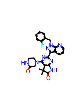 CC1(C)C(=O)Nc2nc(-c3nn(Cc4ccccc4F)c4ncccc34)nc(N3CCNC(=O)C3)c21